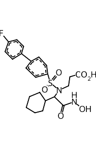 O=C(O)CCN(C(C(=O)NO)C1CCCCC1)S(=O)(=O)c1ccc(-c2ccc(F)cc2)cc1